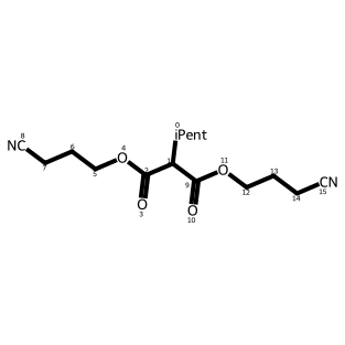 CCCC(C)C(C(=O)OCCCC#N)C(=O)OCCCC#N